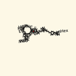 CCCCCCc1cn(-c2ccc(CCCCn3cc(CCN(C)[C@H]4C[C@@H](C)O[C@@H](O[C@@H]5[C@@H](C)[C@H](O[C@H]6C[C@@](C)(OC)[C@@H](O)[C@H](C)O6)[C@@H](C)C(=O)O[C@H](CC)[C@@](C)(O)[C@H](O)[C@@H](C)N(C)C[C@H](C)C[C@@]5(C)O)[C@@H]4O)nn3)cc2)nn1